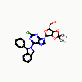 CC1(C)OC2C(O1)[C@@H](CO)O[C@H]2n1cnc2c(N3Cc4ccccc4C3c3ccccc3)nc(Cl)nc21